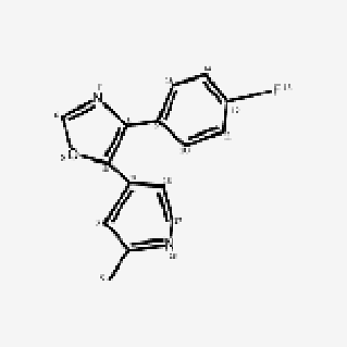 Cc1cc(-c2ocnc2-c2ccc(F)cc2)ccn1